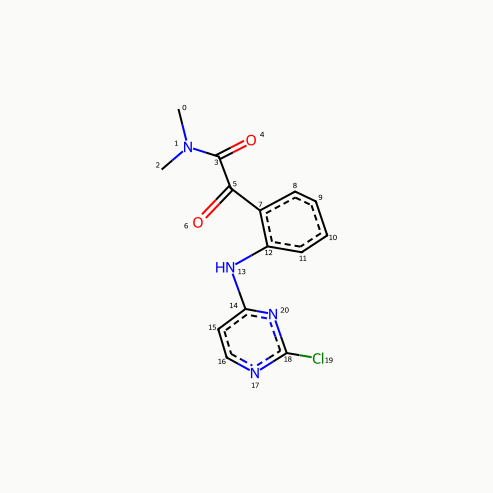 CN(C)C(=O)C(=O)c1ccccc1Nc1ccnc(Cl)n1